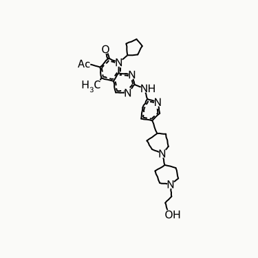 CC(=O)c1c(C)c2cnc(Nc3ccc(C4CCN(C5CCN(CCO)CC5)CC4)cn3)nc2n(C2CCCC2)c1=O